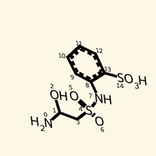 NC(O)CS(=O)(=O)Nc1ccccc1S(=O)(=O)O